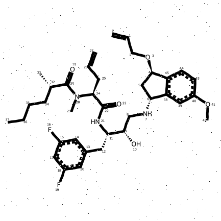 C=CCO[C@@H]1C[C@@H](NC[C@H](O)[C@H](Cc2cc(F)cc(F)c2)NC(=O)[C@H](CC=C)N(C)C(=O)[C@@H](C)CCCC)c2cc(OC)ccc21